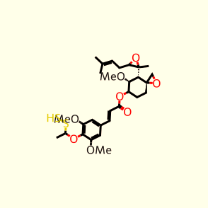 COc1cc(/C=C/C(=O)OC2CC[C@]3(CO3)[C@@H](C3(C)OC3CC=C(C)C)[C@@H]2OC)cc(OC)c1OC(C)SS